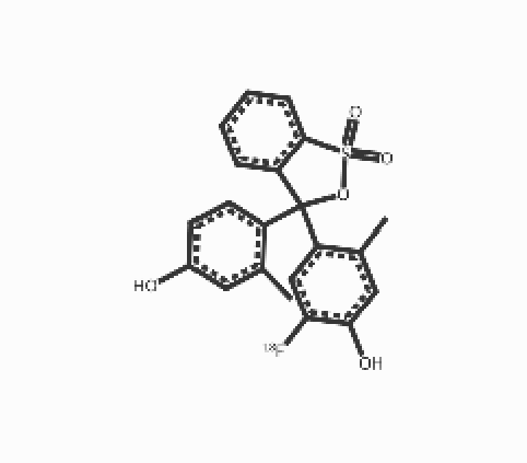 Cc1cc(O)ccc1C1(c2cc([18F])c(O)cc2C)OS(=O)(=O)c2ccccc21